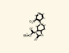 CC(C)(C)OC(=O)N1C(=O)OC2CCN(c3ccncc3[N+](=O)[O-])CC21